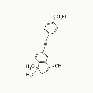 CCOC(=O)c1ccc(C#Cc2ccc3c(c2)C(C)=CCC3(C)C)cc1